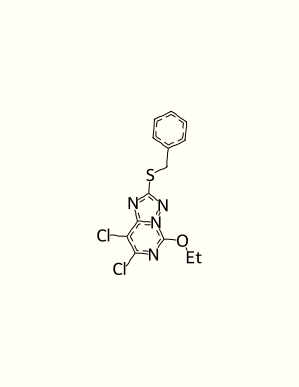 CCOc1nc(Cl)c(Cl)c2nc(SCc3ccccc3)nn12